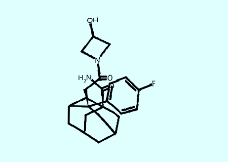 NC(=O)[C@]12CC3CC(C1)[C@@](CC(=O)N1CC(O)C1)(c1ccc(F)cc1)C(C3)C2